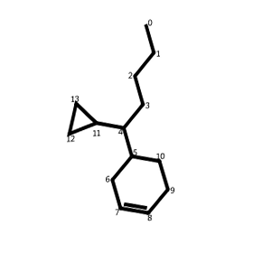 CCCCC(C1CC=CCC1)C1CC1